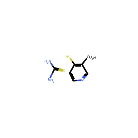 NC(N)=S.O=C(O)c1cnccc1S